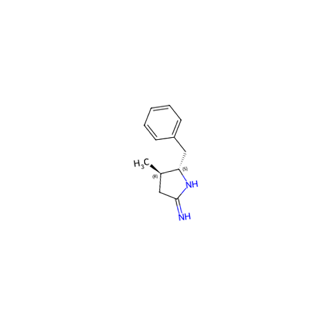 C[C@@H]1CC(=N)N[C@H]1Cc1ccccc1